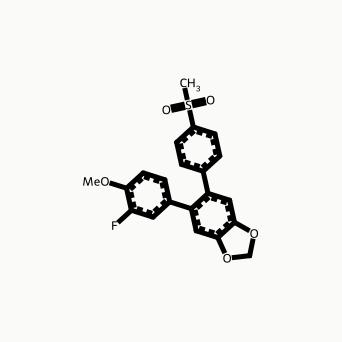 COc1ccc(-c2cc3c(cc2-c2ccc(S(C)(=O)=O)cc2)OCO3)cc1F